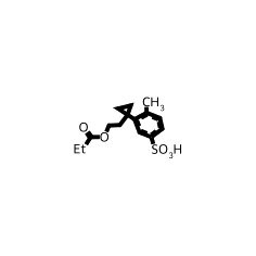 CCC(=O)OCCC1(c2cc(S(=O)(=O)O)ccc2C)CC1